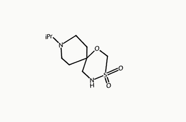 CC(C)N1CCC2(CC1)CNS(=O)(=O)CO2